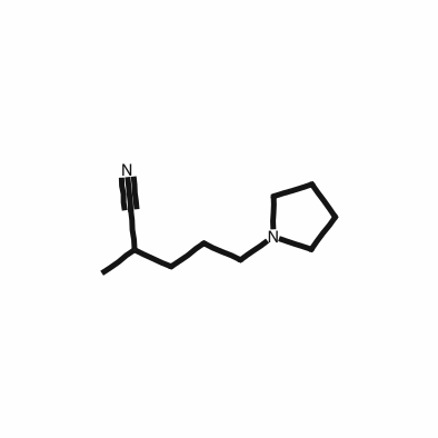 CC(C#N)CCCN1CCCC1